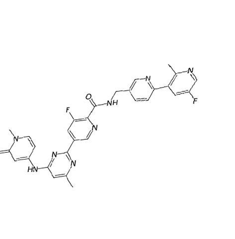 Cc1cc(Nc2ccn(C)c(=O)c2)nc(-c2cnc(C(=O)NCc3ccc(-c4cc(F)cnc4C)nc3)c(F)c2)n1